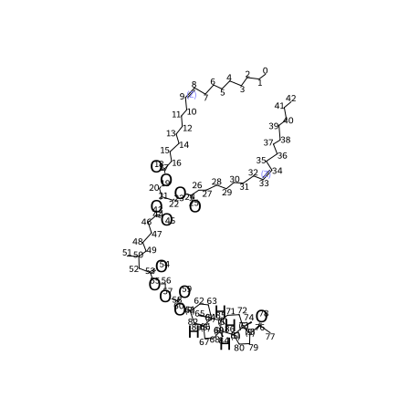 CCCCCCCC/C=C\CCCCCCCC(=O)OCC(COC(=O)CCCCCCC/C=C\CCCCCCCC)OC(=O)CCCCC(C)CC(=O)OCOC(=O)O[C@@H]1CC[C@@]2(C)[C@@H](CC[C@@H]3[C@@H]2CC[C@]2(C)[C@@H](C(C)=O)CC[C@@H]32)C1